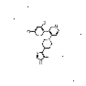 Cc1[nH]cnc1C1CCN(c2ccncc2-c2ccc(Cl)cc2Cl)CC1